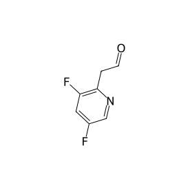 O=CCc1ncc(F)cc1F